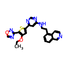 CCOc1cc(-c2cc(NCCc3cccc4cnccc34)ncn2)sc1-c1ncon1